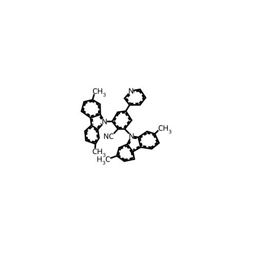 Cc1ccc2c3ccc(C)cc3n(-c3cc(-c4cccnc4)cc(-n4c5cc(C)ccc5c5ccc(C)cc54)c3C#N)c2c1